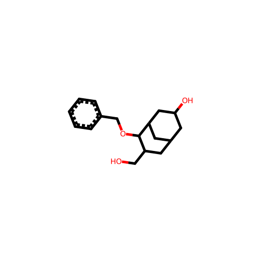 OCC1CC2CC(O)CC(C2)C1OCc1ccccc1